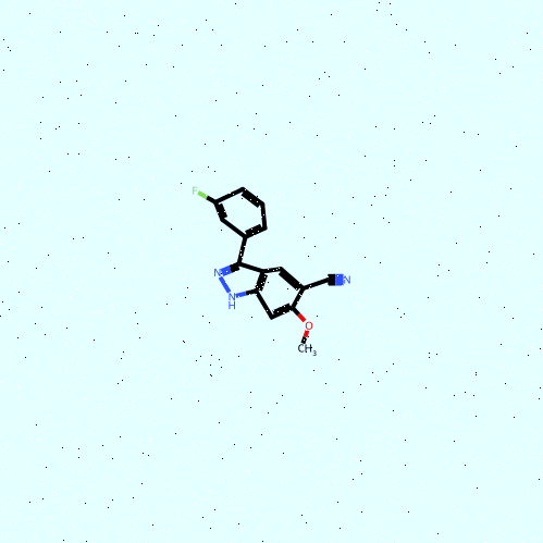 COc1cc2[nH]nc(-c3cccc(F)c3)c2cc1C#N